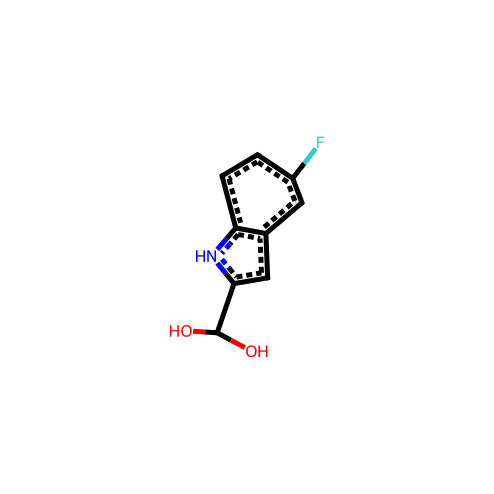 OC(O)c1cc2cc(F)ccc2[nH]1